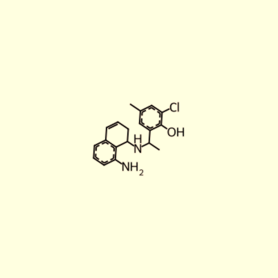 Cc1cc(Cl)c(O)c(C(C)NC2CC=Cc3cccc(N)c32)c1